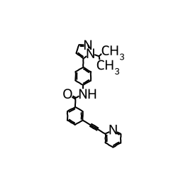 CC(C)n1nccc1-c1ccc(NC(=O)c2cccc(C#Cc3ccccn3)c2)cc1